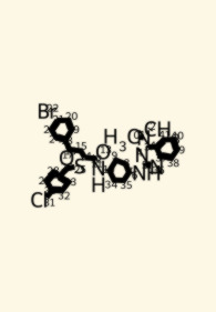 CN(C)c1nc(N[C@H]2CC[C@@H](NC(=O)C(CC(=O)c3ccc(Br)cc3)SCc3ccc(Cl)cc3)CC2)nc2ccccc12